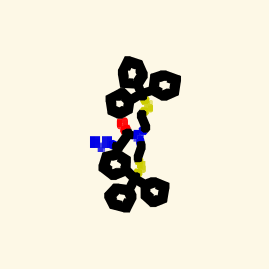 NCC(=O)N(CCSC(c1ccccc1)(c1ccccc1)c1ccccc1)CCSC(c1ccccc1)(c1ccccc1)c1ccccc1